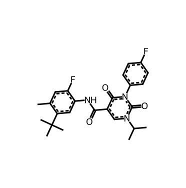 Cc1cc(F)c(NC(=O)c2cn(C(C)C)c(=O)n(-c3ccc(F)cc3)c2=O)cc1C(C)(C)C